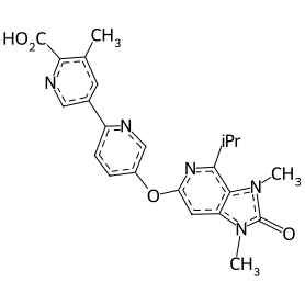 Cc1cc(-c2ccc(Oc3cc4c(c(C(C)C)n3)n(C)c(=O)n4C)cn2)cnc1C(=O)O